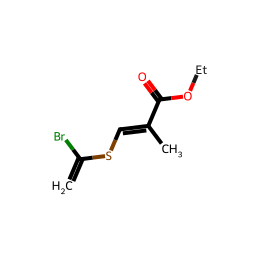 C=C(Br)S/C=C(\C)C(=O)OCC